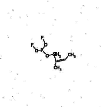 CC=C(C)[SiH2]OP(OF)OF